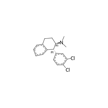 CN(C)[C@@H]1CCc2ccccc2[C@H]1c1ccc(Cl)c(Cl)c1